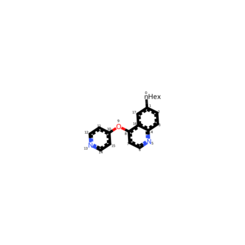 CCCCCCc1ccc2nccc(Oc3ccncc3)c2c1